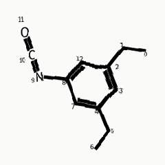 CCc1cc(CC)cc(N=C=O)c1